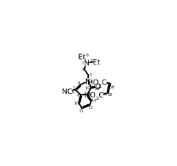 CCN(CC)CCn1cc(C#N)c2ccccc2c1=O.O=C(O)/C=C\C(=O)O